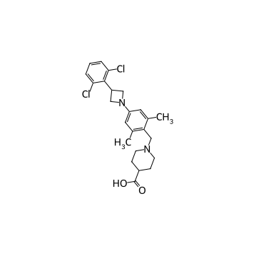 Cc1cc(N2CC(c3c(Cl)cccc3Cl)C2)cc(C)c1CN1CCC(C(=O)O)CC1